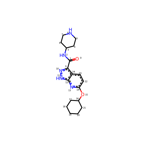 O=C(NC1CCNCC1)c1n[nH]c2nc(OC3CCCCC3)ccc12